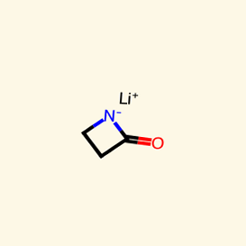 O=C1CC[N-]1.[Li+]